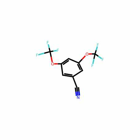 N#Cc1cc(OC(F)(F)F)cc(OC(F)(F)F)c1